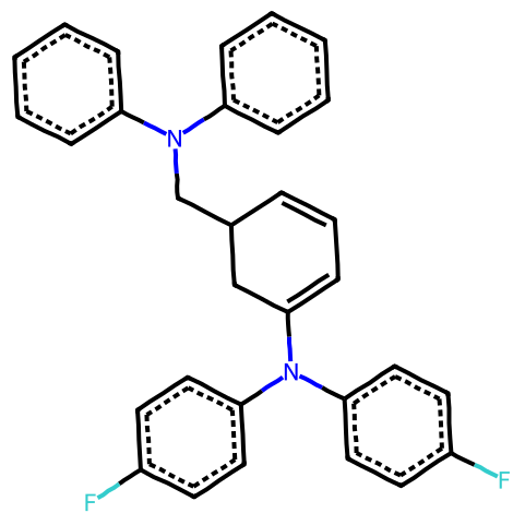 Fc1ccc(N(C2=CC=CC(CN(c3ccccc3)c3ccccc3)C2)c2ccc(F)cc2)cc1